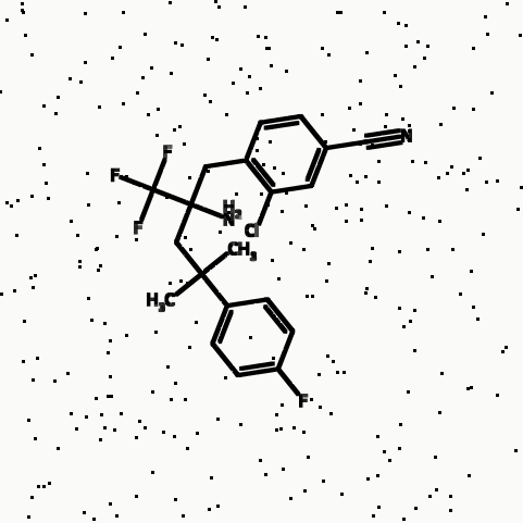 CC(C)(CC(N)(Cc1ccc(C#N)cc1Cl)C(F)(F)F)c1ccc(F)cc1